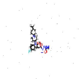 CC(=O)NNC(=O)CC1C(=O)N(C2CCN(C3CCC(=C(C)C)CC3)CC2)c2ccc(F)cc21